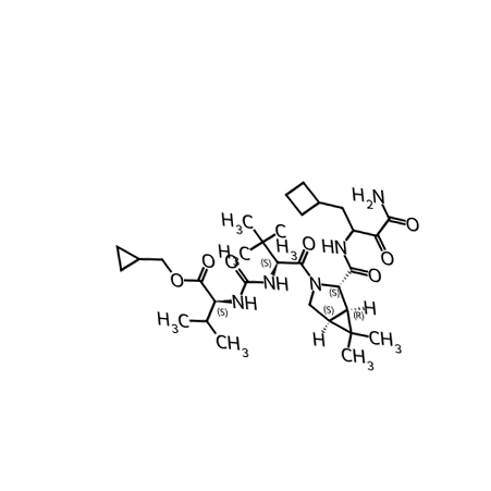 CC(C)[C@H](NC(=O)N[C@H](C(=O)N1C[C@H]2[C@@H]([C@H]1C(=O)NC(CC1CCC1)C(=O)C(N)=O)C2(C)C)C(C)(C)C)C(=O)OCC1CC1